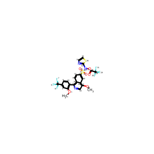 COc1cc(C(F)(F)F)ccc1-c1ncc(OC)c2cc(S(=O)(=O)N(OC(=O)C(F)(F)F)c3nccs3)ccc12